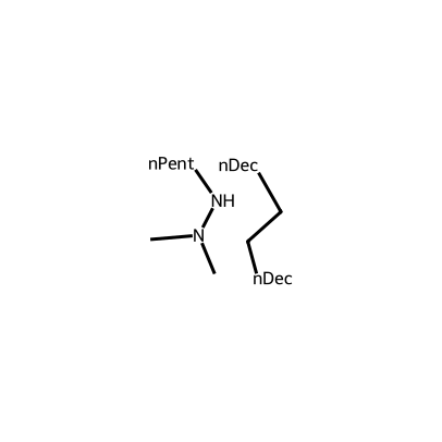 CCCCCCCCCCCCCCCCCCCCCC.CCCCCNN(C)C